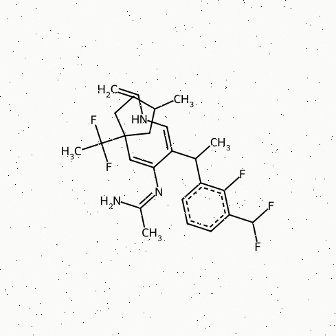 C=CN\C=C(C(=C\C1(C(C)(F)F)CCC(C)C1)/N=C(/C)N)\C(C)c1cccc(C(F)F)c1F